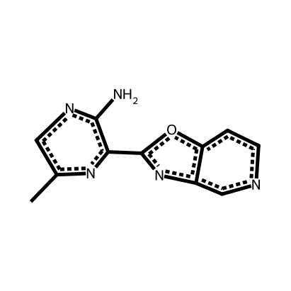 Cc1cnc(N)c(-c2nc3cnccc3o2)n1